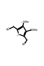 CSc1c(CBr)sc(CBr)c1SC